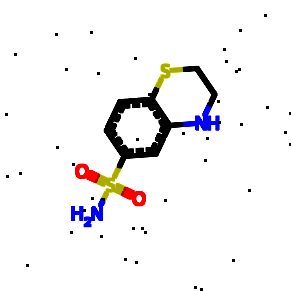 NS(=O)(=O)c1ccc2c(c1)NCCS2